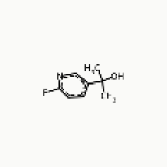 CC(C)(O)c1ccc(F)nc1